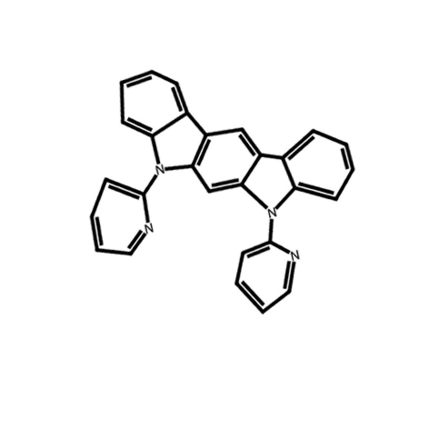 c1ccc(-n2c3ccccc3c3cc4c5ccccc5n(-c5ccccn5)c4cc32)nc1